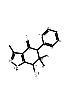 Cc1n[nH]c2c1C(=O)C(c1ccccn1)C(C)(C)C2O